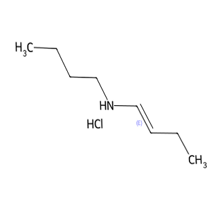 CC/C=C/NCCCC.Cl